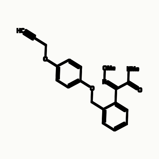 C#CCOc1ccc(OCc2ccccc2C(=NOC)C(=O)NC)cc1